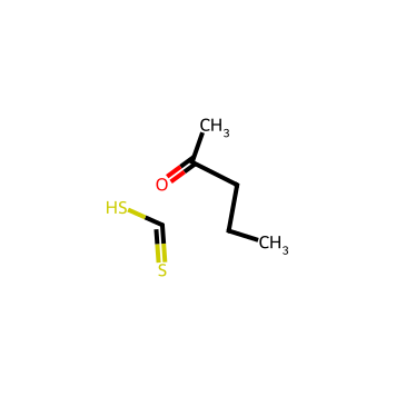 CCCC(C)=O.S=CS